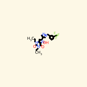 CCCn1c(=O)c2c(cc(-c3cnn(Cc4cccc(C(F)(F)F)c4)c3)n2O)n(CCC)c1=O